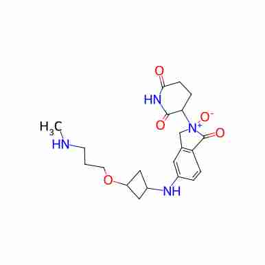 CNCCCOC1CC(Nc2ccc3c(c2)C[N+]([O-])(C2CCC(=O)NC2=O)C3=O)C1